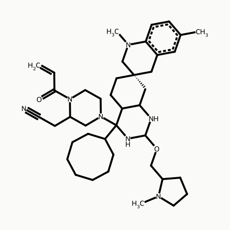 C=CC(=O)N1CCN(C2(C3CCCCCCC3)NC(OCC3CCCN3C)NC3C[C@@]4(CCC32)Cc2cc(C)ccc2N(C)C4)CC1CC#N